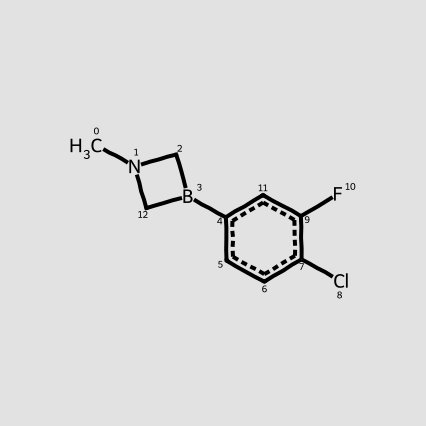 CN1CB(c2ccc(Cl)c(F)c2)C1